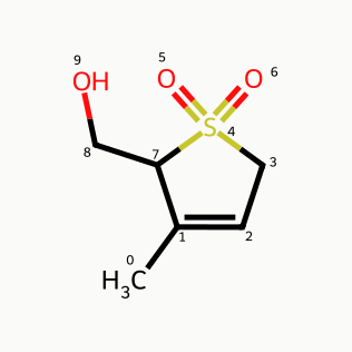 CC1=CCS(=O)(=O)C1CO